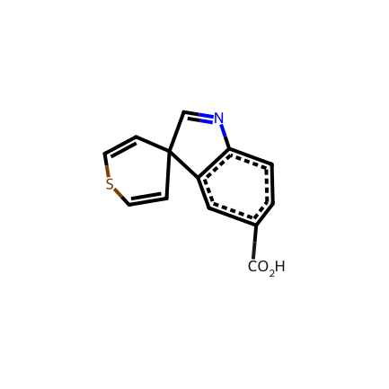 O=C(O)c1ccc2c(c1)C1(C=CSC=C1)C=N2